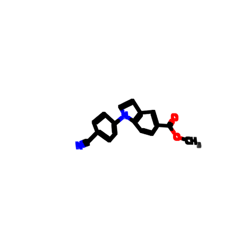 COC(=O)c1ccc2c(ccn2-c2ccc(C#N)cc2)c1